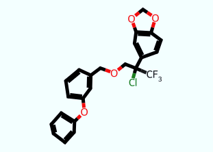 FC(F)(F)C(Cl)(COCc1cccc(Oc2ccccc2)c1)c1ccc2c(c1)OCO2